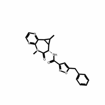 CC1C2c3nccnc3N(C)C(=O)[C@@H](NC(=O)c3cc(Cc4ccccc4)on3)C12